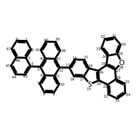 c1ccc2c(-c3c4ccccc4c(-c4ccc5c(c4)sc4c6ccccc6c6oc7ccccc7c6c54)c4ccccc34)cccc2c1